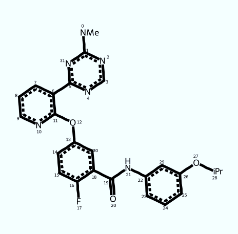 CNc1ncnc(-c2cccnc2Oc2ccc(F)c(C(=O)Nc3cccc(OC(C)C)c3)c2)n1